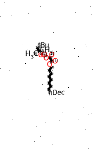 CCCCCCCCCCCCCCCCCCOC(=O)C(=O)OOOC(C)(C)CC(C)(C)C